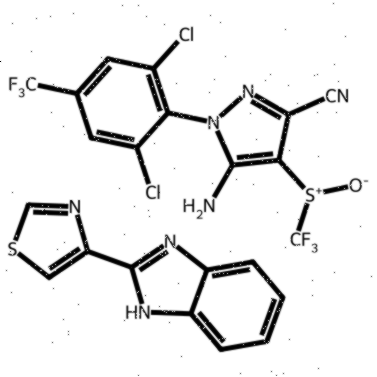 N#Cc1nn(-c2c(Cl)cc(C(F)(F)F)cc2Cl)c(N)c1[S+]([O-])C(F)(F)F.c1ccc2[nH]c(-c3cscn3)nc2c1